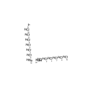 Cl.Cl.Cl.Cl.Cl.Cl.Cl.Cl.Cl.Cl.Cl.Cl.[Ir].[NaH].[NaH]